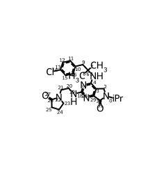 CC(C)N1Cc2c(NC(C)(C)Cc3ccc(Cl)cc3)nc(NCCN3CCCC3=O)nc2C1=O